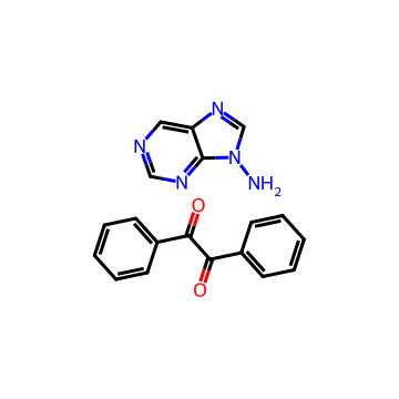 Nn1cnc2cncnc21.O=C(C(=O)c1ccccc1)c1ccccc1